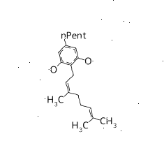 CCCCCc1cc([O])c(CC=C(C)CCC=C(C)C)c([O])c1